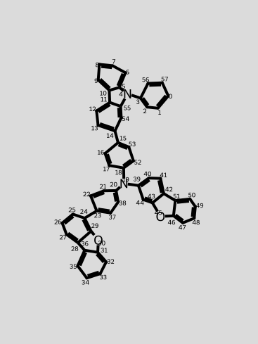 c1ccc(-n2c3ccccc3c3ccc(-c4ccc(N(c5ccc(-c6cccc7c6oc6ccccc67)cc5)c5ccc6c(c5)oc5ccccc56)cc4)cc32)cc1